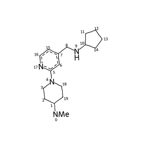 CNC1CCN(c2cc(CNC3CCCC3)ccn2)CC1